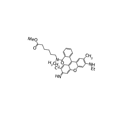 CCNc1cc2oc3cc(=N)c(C)cc-3c(-c3ccccc3C(=O)N(C)CCCCCC(=O)OC)c2cc1C